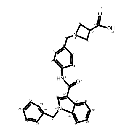 O=C(Nc1ccc(CN2CC(C(=O)O)C2)cc1)c1cn(Cc2ccccc2)c2ccccc12